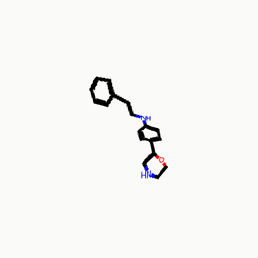 c1ccc(CCNc2ccc(C3CNCCO3)cc2)cc1